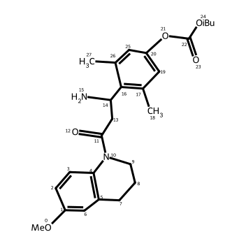 COc1ccc2c(c1)CCCN2C(=O)CC(N)c1c(C)cc(OC(=O)OCC(C)C)cc1C